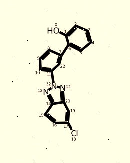 Oc1ccccc1-c1cccc(-n2nc3ccc(Cl)cc3n2)c1